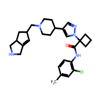 O=C(Nc1ccc(C(F)(F)F)cc1Cl)C1(n2cc(C3CCN(CC4C=C5CNCC5C4)CC3)cn2)CCC1